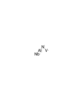 [Al].[N].[Nb].[V]